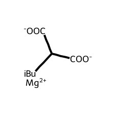 CCC(C)C(C(=O)[O-])C(=O)[O-].[Mg+2]